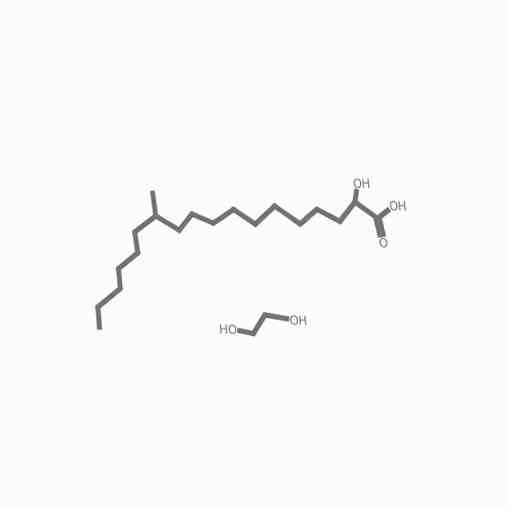 CCCCCCC(C)CCCCCCCCCC(O)C(=O)O.OCCO